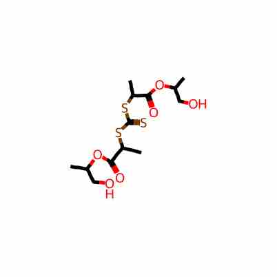 CC(CO)OC(=O)C(C)SC(=S)SC(C)C(=O)OC(C)CO